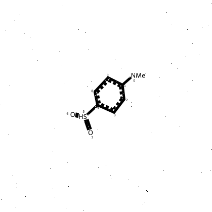 CNc1[c]cc([SH](=O)=O)cc1